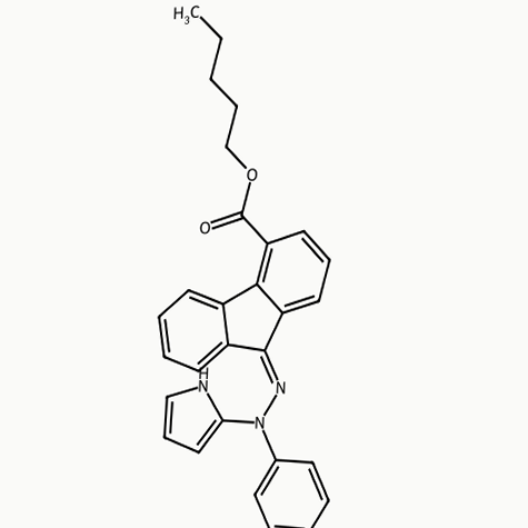 CCCCCOC(=O)c1cccc2c1-c1ccccc1/C2=N\N(c1ccccc1)c1ccc[nH]1